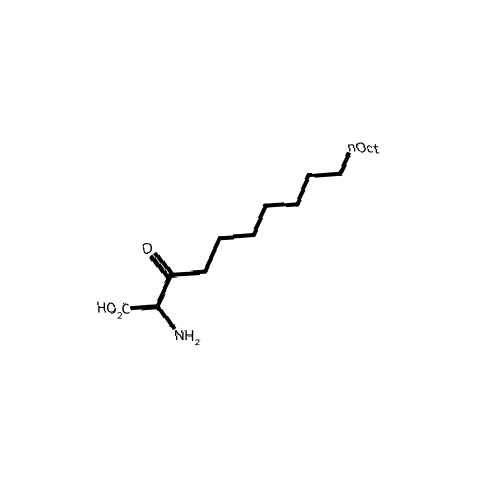 CCCCCCCCCCCCCCCC(=O)C(N)C(=O)O